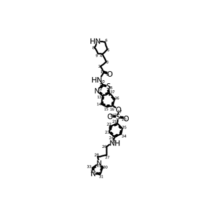 O=C(CCC1CCNCC1)Nc1nc2ccc(OS(=O)(=O)c3ccc(NCCCn4ccnc4)cc3)cc2s1